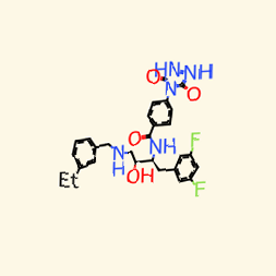 CCc1cccc(CNC[C@H](O)[C@H](Cc2cc(F)cc(F)c2)NC(=O)c2ccc(-n3c(=O)[nH][nH]c3=O)cc2)c1